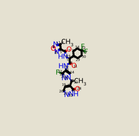 Cc1nonc1C(=O)N[C@H](C(=O)Nc1cn([C@@H](C)c2ccn[nH]c2=O)nc1F)C1CCC(F)(F)CC1